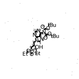 CCOP(=O)(C[C@@H](O)Cn1cnc2c(N(C(=O)OC(C)(C)C)C(=O)OC(C)(C)C)ncnc21)OCC